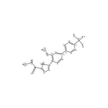 CNC(=O)c1ccc(-c2ccc(-c3ccc(C(F)(F)F)cc3)cc2OC)[nH]1